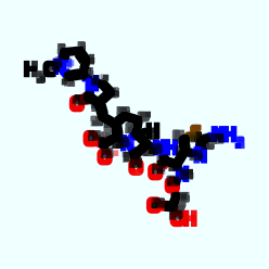 C[n+]1cccc(N2CCC(=CC3=C(C(=O)[O-])N4C(=O)[C@@H](NC(=O)/C(=N\OCC(=O)O)c5csc(N)n5)[C@H]4CC3)C2=O)c1